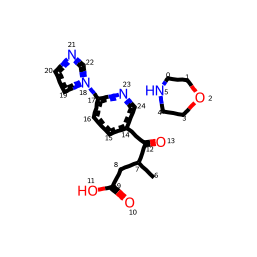 C1COCCN1.CC(CC(=O)O)C(=O)c1ccc(-n2ccnc2)nc1